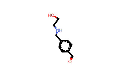 O=Cc1ccc(CNCCO)cc1